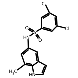 Cc1cc(NS(=O)(=O)c2cc(Cl)cc(Cl)c2)cc2cc[nH]c12